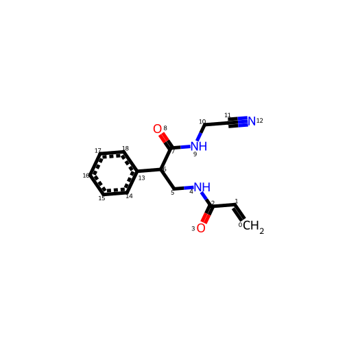 C=CC(=O)NCC(C(=O)NCC#N)c1ccccc1